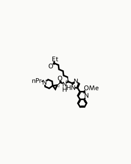 CCCN1CCC2(CC1)C[C@@H]2C(=O)N[C@@H](CCCCCC(=O)CC)c1ncc(-c2cc3ccccc3nc2OC)[nH]1